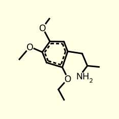 CCOc1cc(OC)c(OC)cc1CC(C)N